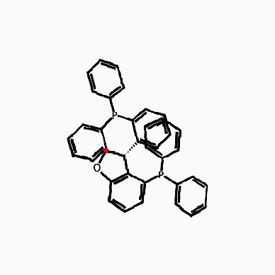 c1ccc(P(c2ccccc2)c2ccccc2[C@H]2COc3cccc(P(c4ccccc4)c4ccccc4)c32)cc1